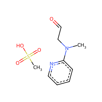 CN(CC=O)c1ccccn1.CS(=O)(=O)O